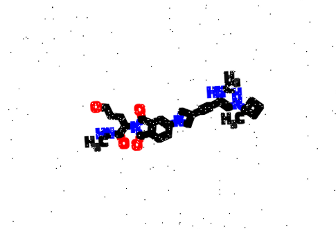 CNC(=O)C(CCC=O)N1C(=O)c2ccc(N3CC(C#C/C(=C/NC4(C)CCC4)NC)C3)cc2C1=O